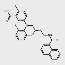 C[C@@H](NCCC1CN(c2ccc(F)c(C(=O)O)c2)c2c(F)cccc2O1)c1cccc2ccccc12